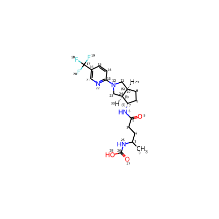 CC(CCC(=O)N[C@H]1CC[C@@H]2CN(c3ccc(C(F)(F)F)cn3)C[C@@H]21)NC(=O)O